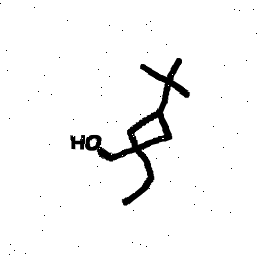 CCC1(CO)CC(C(C)(C)C)C1